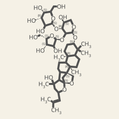 CC(C)=CC1CC(C)(O)C2C3CCC4[C@@]5(C)CC[C@H](O[C@@H]6OC[C@H](O)[C@@H](O[C@@H]7OC(CO)[C@@H](O)[C@@H](O)C7O)C6O[C@@H]6O[C@@H](CO)[C@@H](O)C6O)C(C)(C)C5CC[C@@]4(C)[C@@]34CO[C@@]2(C4)O1